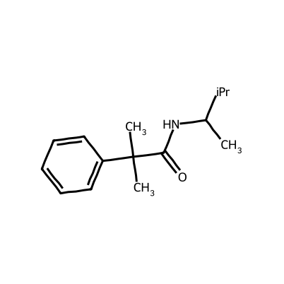 CC(C)C(C)NC(=O)C(C)(C)c1ccccc1